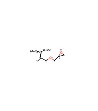 CO[SiH](OC)C(C)COCC1CO1